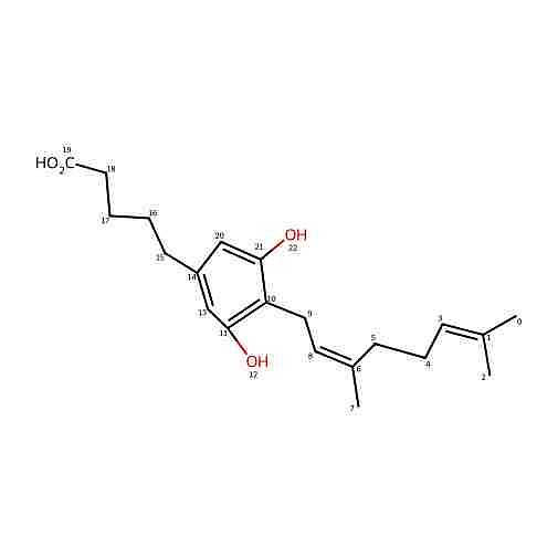 CC(C)=CCCC(C)=CCc1c(O)cc(CCCCC(=O)O)cc1O